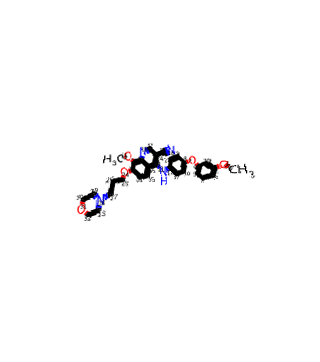 COc1cccc(Oc2ccc(Nc3c(C#N)cnc4c(OC)c(OCCCN5CCOCC5)ccc34)cc2)c1